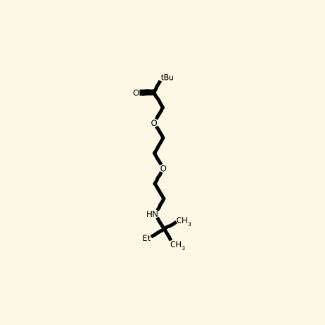 CCC(C)(C)NCCOCCOCC(=O)C(C)(C)C